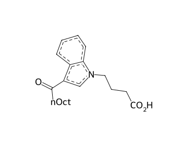 CCCCCCCCC(=O)c1cn(CCCC(=O)O)c2ccccc12